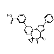 CN1C(=O)c2cc(-c3ccccc3)cn2-c2cc(-c3cccc(C(=O)O)c3)ccc2C12CC2